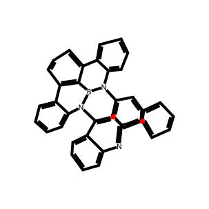 c1ccc(-c2nc(N3B4c5c(cccc5-c5ccccc53)-c3ccccc3N4c3ccccc3)c3ccccc3n2)cc1